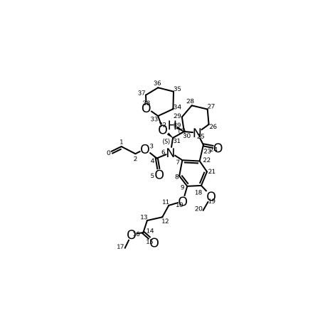 C=CCOC(=O)N1c2cc(OCCCC(=O)OC)c(OC)cc2C(=O)N2CCCC[C@H]2[C@@H]1OC1CCCCO1